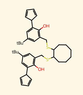 CC(C)(C)c1cc(CSC2CCCCCCC2SCc2cc(C(C)(C)C)cc(C3C=CC=C3)c2O)c(O)c(C2C=CC=C2)c1